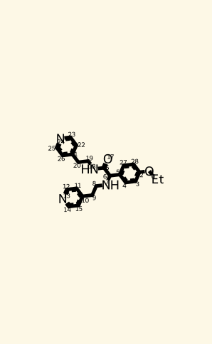 CCOc1ccc(C(NCCc2ccncc2)C(=O)NCCc2ccncc2)cc1